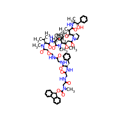 CC[C@H](C)[C@@H]([C@@H](CC(=O)N1CCC[C@H]1[C@H](OC)[C@@H](C)C(=O)N[C@H](C)[C@@H](O)c1ccccc1)OC)N(C)C(=O)[C@@H](NC(=O)[C@H](C(C)C)N(C)C(=O)COCNC(=O)CNC(=O)[C@H](Cc1ccccc1)NC(=O)CNC(=O)CN(C)C(=O)OC1c2ccccc2-c2ccccc21)C(C)C